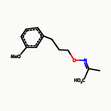 COc1cccc(CCCO/N=C(/C)C(=O)O)c1